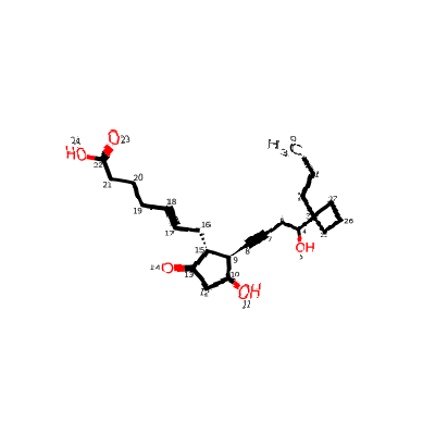 CCCC1(C(O)CC#C[C@H]2C(O)CC(=O)[C@@H]2CC=CCCCC(=O)O)CCC1